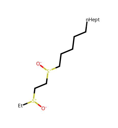 CCCCCCCCCCCC[S+]([O-])CC[S+]([O-])CC